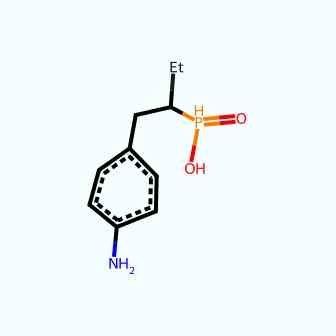 CCC(Cc1ccc(N)cc1)[PH](=O)O